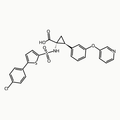 O=C(O)[C@@]1(NS(=O)(=O)c2ccc(-c3ccc(Cl)cc3)s2)C[C@H]1c1cccc(Oc2cccnc2)c1